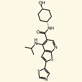 CC(C)Nc1c(C(=O)N[C@H]2CC[C@H](O)CC2)cnc2sc(-c3cncs3)cc12